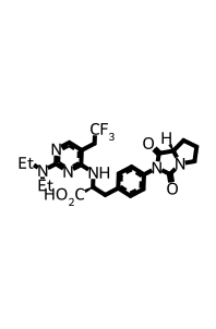 CCN(CC)c1ncc(CC(F)(F)F)c(N[C@@H](Cc2ccc(N3C(=O)[C@@H]4CCCN4C3=O)cc2)C(=O)O)n1